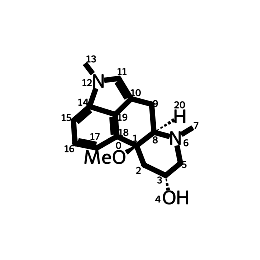 CO[C@]12C[C@@H](O)CN(C)[C@@H]1Cc1cn(C)c3cccc2c13